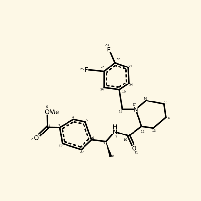 COC(=O)c1ccc([C@H](C)NC(=O)C2CCCCN2Cc2ccc(F)c(F)c2)cc1